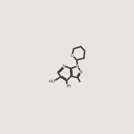 Cc1nn(C2CCCCO2)c2ncc(O)c(C(C)C)c12